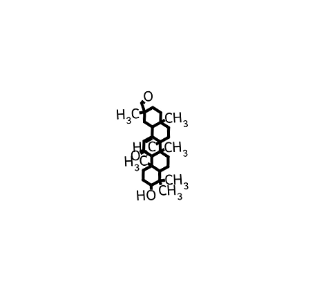 CC1(C=O)CCC2(C)CCC3(C)C(=CC(=O)C4C5(C)CCC(O)C(C)(C)C5CCC43C)C2C1